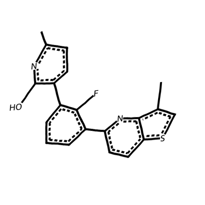 Cc1ccc(-c2cccc(-c3ccc4scc(C)c4n3)c2F)c(O)n1